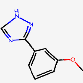 COc1cccc(-c2nc[nH]n2)c1